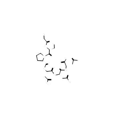 NCC(=O)N[C@@H](CO)C(=O)N1CCC[C@H]1C(=O)N[C@@H](CC(N)=O)C(=O)N[C@@H](CC(N)=O)C(=O)N[C@@H](CC(=O)O)C(=O)O